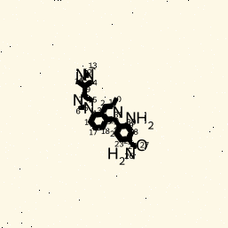 Cc1cc2c(-n3cnc(-c4cnn(C)c4)c3)cccc2c(-c2ccc(C(N)=O)cc2N)n1